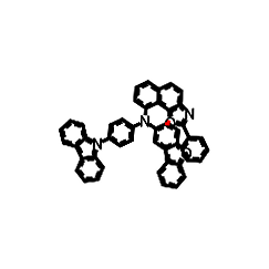 c1ccc(-c2nc3ccc4cccc(N(c5ccc(-n6c7ccccc7c7ccccc76)cc5)c5ccc6oc7ccccc7c6c5)c4c3o2)cc1